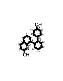 Cc1ccc2cccc(-c3ccccc3-c3ccc(O)cc3)c2n1